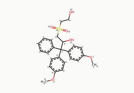 COc1ccc(C(c2ccccc2)(c2ccc(OC)cc2)C(O)CS(=O)(=O)CCO)cc1